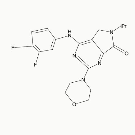 CC(C)N1Cc2c(Nc3ccc(F)c(F)c3)nc(N3CCOCC3)nc2C1=O